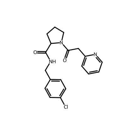 O=C(NCc1ccc(Cl)cc1)C1CCCN1C(=O)Cc1ccccn1